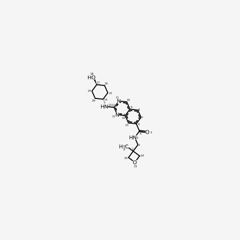 CC1(CNC(=O)c2ccc3cnc(N[C@H]4CC[C@H](O)CC4)nc3c2)COC1